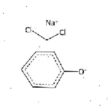 ClCCl.[Na+].[O-]c1ccccc1